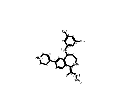 C/C(NN)=C1/NCCC(Nc2cc(F)cc(Cl)c2)c2cc(C3=CCNCC3)ccc21